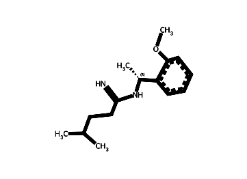 COc1ccccc1[C@@H](C)NC(=N)CCC(C)C